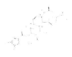 CC[C@@H](O)[C@H]1OC(=O)[C@H](CC)[C@H]2C=C[C@H]3[C@H]4O[C@]2(/C(C)=C/[C@H]1C)[C@@H]3[C@H](O)[C@@H](COC)[C@H]4OC(=O)c1cc(Cl)c(Br)[nH]1